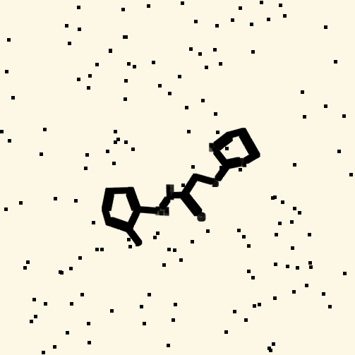 Cc1ccccc1NNC(=O)CSc1ncccn1